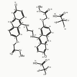 CC(C)(C)OC(=O)COc1ccc2nc3cc(Cl)ccc3c(NCCNc3c4ccc(Cl)cc4nc4ccc(OCC(=O)OC(C)(C)C)cc34)c2c1.O=C(O)C(F)(F)F.O=C(O)C(F)(F)F